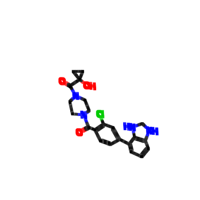 O=C(c1ccc(-c2cccc3c2NCN3)cc1Cl)N1CCN(C(=O)C2(O)CC2)CC1